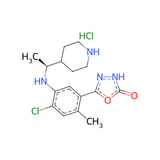 Cc1cc(Cl)c(N[C@@H](C)C2CCNCC2)cc1-c1n[nH]c(=O)o1.Cl